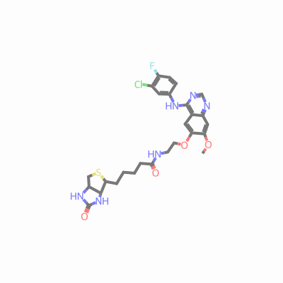 COc1cc2ncnc(Nc3ccc(F)c(Cl)c3)c2cc1OCCNC(=O)CCCCC1SCC2NC(=O)NC21